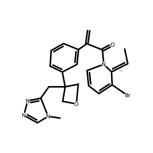 C=C(C(=O)N1C=CC=C(Br)/C1=C/C)c1cccc(C2(Cc3nncn3C)COC2)c1